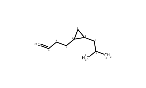 CC(C)CC1CC1CC[C]=O